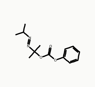 CC(C)N=NC(C)(C)OC(=O)Oc1ccccc1